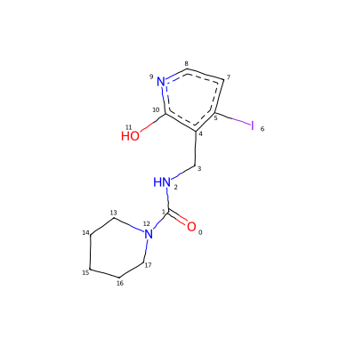 O=C(NCc1c(I)ccnc1O)N1CCCCC1